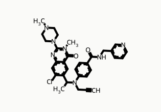 C#CCN(c1ccc(C(=O)NCc2cccnc2)cc1)C(C)c1cc2c(=O)n(C)c(N3CCN(C)CC3)nc2cc1Cl